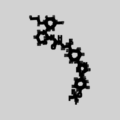 CCCc1ccc(C)cc1N1CCCS/C1=N\C(=O)NCC(F)c1ccc(-c2ncn(-c3ccc(OC(F)(F)F)cc3)n2)cc1